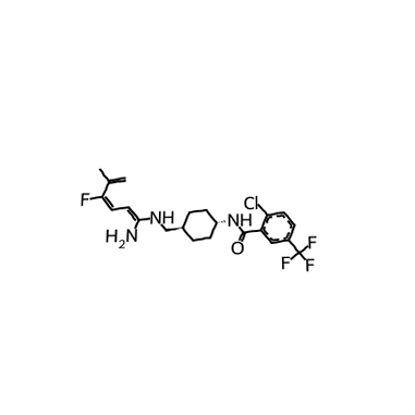 C=C(C)/C(F)=C\C=C(/N)NC[C@H]1CC[C@H](NC(=O)c2cc(C(F)(F)F)ccc2Cl)CC1